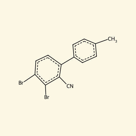 Cc1ccc(-c2ccc(Br)c(Br)c2C#N)cc1